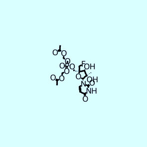 CC(=O)OCOP(=O)(OCOC(C)=O)OC[C@@]1(CF)O[C@@H](n2ccc(=O)[nH]c2=O)[C@](C)(O)[C@@H]1O